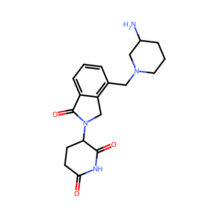 NC1CCCN(Cc2cccc3c2CN(C2CCC(=O)NC2=O)C3=O)C1